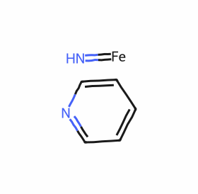 [NH]=[Fe].c1ccncc1